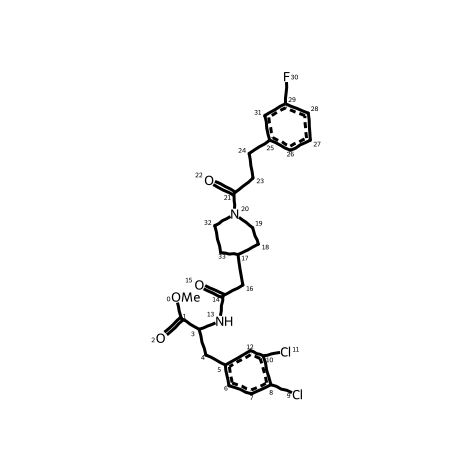 COC(=O)C(Cc1ccc(Cl)c(Cl)c1)NC(=O)CC1CCN(C(=O)CCc2cccc(F)c2)CC1